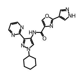 O=C(Nc1cn(C2CCCCC2)nc1-c1ncccn1)c1coc(-c2cn[nH]c2)n1